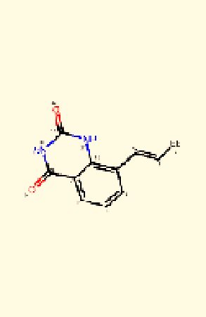 CC/C=C/c1cccc2c(=O)[nH]c(=O)[nH]c12